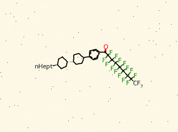 CCCCCCC[C@H]1CC[C@H](C2CCC(c3ccc(C(=O)C(F)(F)C(F)(F)C(F)(F)C(F)(F)C(F)(F)C(F)(F)C(F)(F)C(F)(F)F)cc3)CC2)CC1